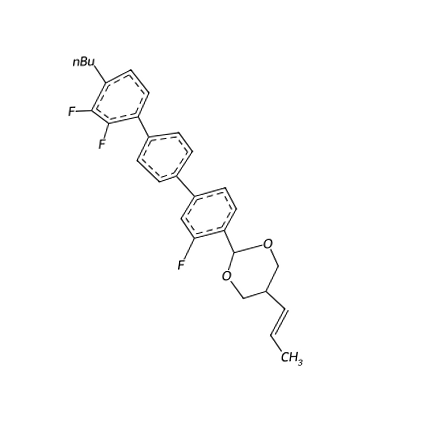 C/C=C/C1COC(c2ccc(-c3ccc(-c4ccc(CCCC)c(F)c4F)cc3)cc2F)OC1